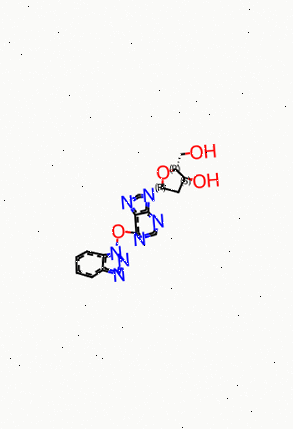 OC[C@H]1O[C@@H](n2cnc3c(On4nnc5ccccc54)ncnc32)C[C@@H]1O